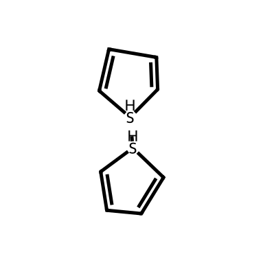 C1=C[SH]([SH]2C=CC=C2)C=C1